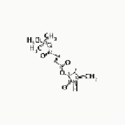 C=C1CC(OC(=O)/C=C/C(=O)OC(C)(C)C)C(=O)N1